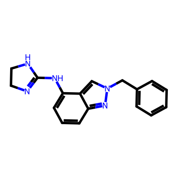 c1ccc(Cn2cc3c(NC4=NCCN4)cccc3n2)cc1